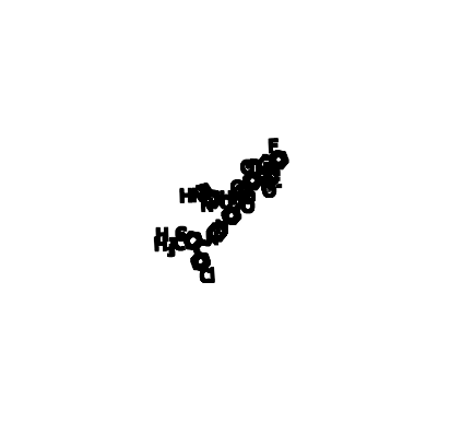 CC1(C)CCC(CN2CCN(c3ccc(C(=O)NS(=O)(=O)c4cc5c(c([N+](=O)[O-])c4)N[C@H](Cc4ccccc4F)CO5)c(Oc4cnc5[nH]ccc5c4)c3)CC2)=C(c2ccc(Cl)cc2)C1